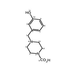 O=C(O)N1CCN(Cc2cccc(O)c2)CC1